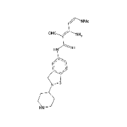 CN/C=C\C(N)=C(/C=O)C(=N)Nc1ccc2c(c1)CN(C1CCNCC1)S2